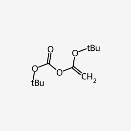 C=C(OC(=O)OC(C)(C)C)OC(C)(C)C